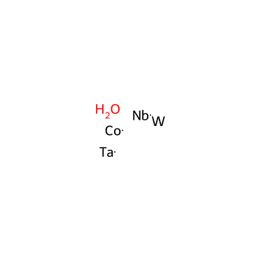 O.[Co].[Nb].[Ta].[W]